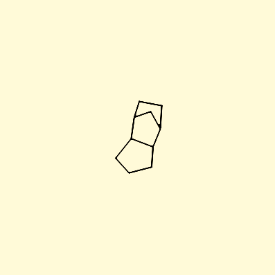 [CH]1CCC2C3CCC(C3)C12